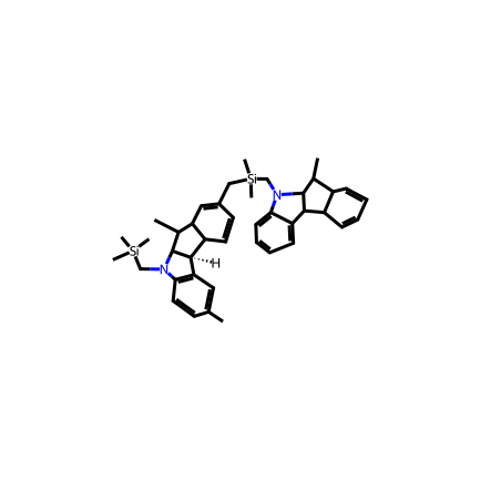 Cc1ccc2c(c1)[C@@H]1C3C=CC(C[Si](C)(C)CN4c5ccccc5C5C6C=CC=CC6C(C)C54)=CC3C(C)C1N2C[Si](C)(C)C